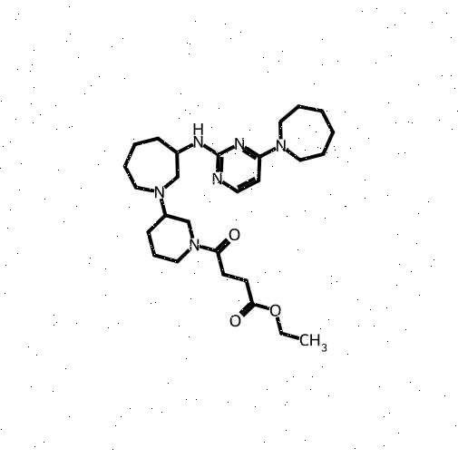 CCOC(=O)CCC(=O)N1CCCC(N2CCCCC(Nc3nccc(N4CCCCCC4)n3)C2)C1